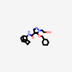 O=C(NC1C2CC=C3CCC31C2)c1cnn(CCO)c1OCC1CCCCC1